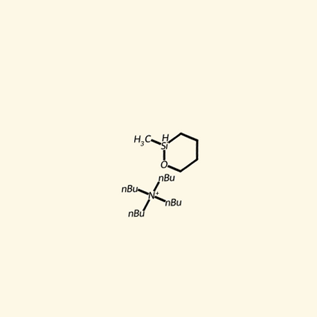 CCCC[N+](CCCC)(CCCC)CCCC.C[SiH]1CCCCO1